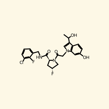 CC(O)c1cn(CC(=O)N2C[C@H](F)C[C@H]2C(=O)NCc2cccc(Cl)c2F)c2cc(O)ccc12